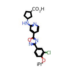 CC(C)Oc1ccc(-c2noc(-c3ccnc(N[C@H]4CC[C@@H](C(=O)O)C4)c3)n2)cc1Cl